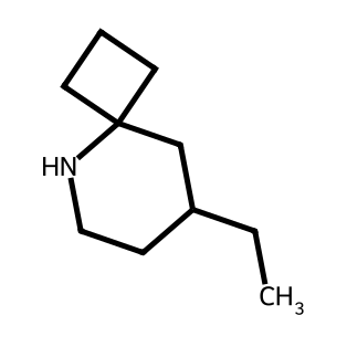 CCC1CCNC2(CCC2)C1